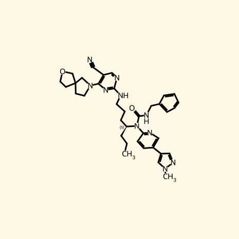 CCC[C@@H](CCCNc1ncc(C#N)c(N2CCC3(CCOC3)C2)n1)N(C(=O)NCc1ccccc1)c1ccc(-c2cnn(C)c2)cn1